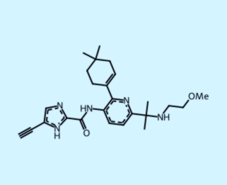 C#Cc1cnc(C(=O)Nc2ccc(C(C)(C)NCCOC)nc2C2=CCC(C)(C)CC2)[nH]1